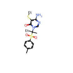 CCSc1c(N)ncn(C(C)(CC)S(=O)(=O)c2ccc(C)cc2)c1=O